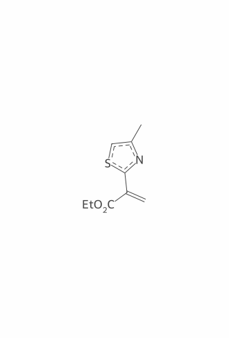 C=C(C(=O)OCC)c1nc(C)cs1